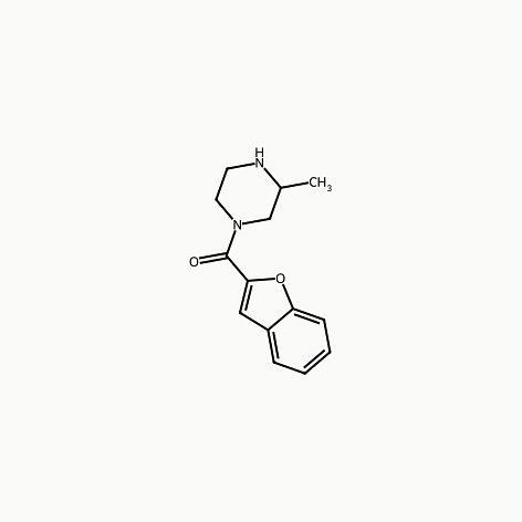 CC1CN(C(=O)c2cc3ccccc3o2)CCN1